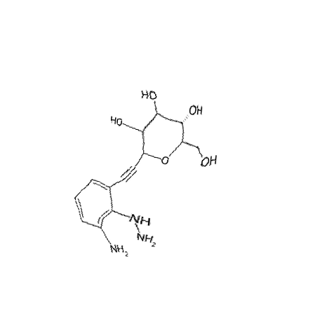 NNc1c(N)cccc1C#CC1OC(CO)[C@@H](O)C(O)C1O